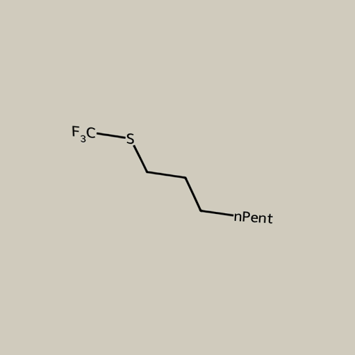 [CH2]CCCCCCCSC(F)(F)F